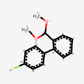 CO[C](OC)c1ccccc1-c1ccc(F)cc1